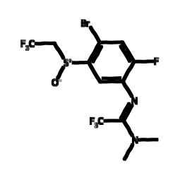 CN(C)/C(=N/c1cc([S+]([O-])CC(F)(F)F)c(Br)cc1F)C(F)(F)F